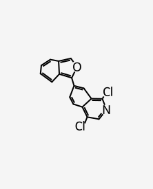 Clc1cnc(Cl)c2cc(-c3occ4ccccc34)ccc12